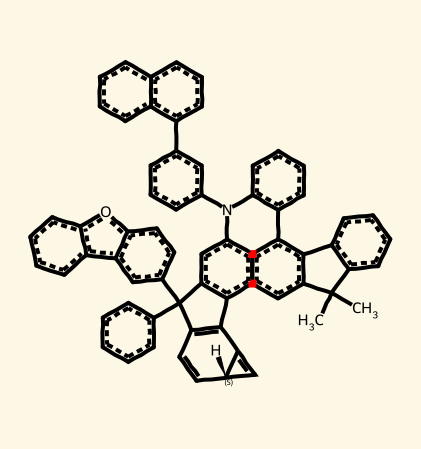 CC1(C)c2ccccc2-c2c(-c3ccccc3N(c3cccc(-c4cccc5ccccc45)c3)c3ccc4c(c3)C(c3ccccc3)(c3ccc5oc6ccccc6c5c3)C3=C4C4=C[C@@H]4C=C3)cccc21